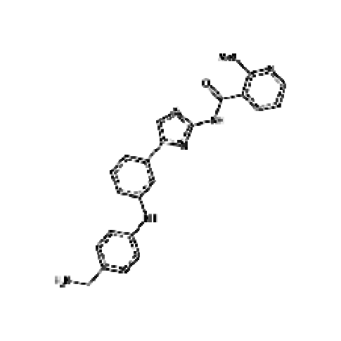 CSc1ncccc1C(=O)Nc1nc(-c2cccc(Nc3ccc(CN)cc3)c2)cs1